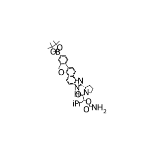 CC(C)[C@H](OC(N)=O)C(=O)N1CCC[C@H]1c1nc2c(ccc3c4c(ccc32)-c2ccc(B3OC(C)(C)C(C)(C)O3)cc2CO4)[nH]1